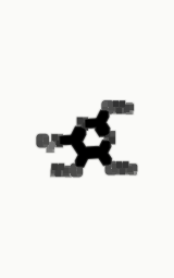 COc1nc(OC)c(OC)c([N+](=O)[O-])n1